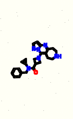 O=C(C1CN(c2c3c(nc4ccnn24)CCNCC3)C1)N(Cc1ccccc1)C1CC1